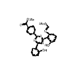 COC=Nc1cccc(O)c1-c1nc(-c2ccc(C(=O)OC)cc2)nc(-c2ccccc2O)n1